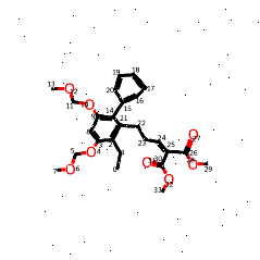 CCc1c(OCOC)cc(OCOC)c(-c2ccccc2)c1CCC=C(C(=O)OC)C(=O)OC